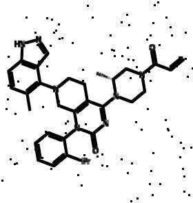 C=CC(=O)N1CCN(c2nc(=O)n(-c3ccccc3C(C)C)c3c2CCN(c2c(C)ccc4[nH]ncc24)C3)[C@H](C)C1